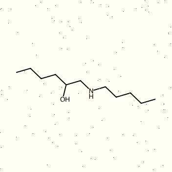 CCCCCNCC(O)CCCC